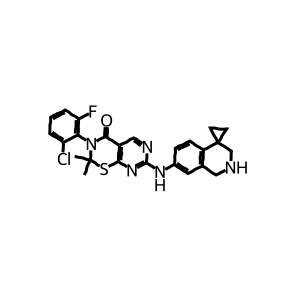 CC1(C)Sc2nc(Nc3ccc4c(c3)CNCC43CC3)ncc2C(=O)N1c1c(F)cccc1Cl